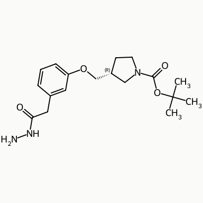 CC(C)(C)OC(=O)N1CC[C@@H](COc2cccc(CC(=O)NN)c2)C1